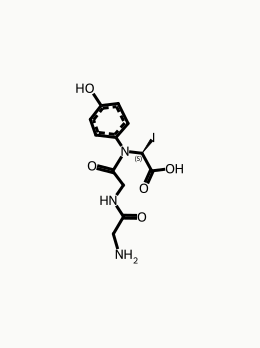 NCC(=O)NCC(=O)N(c1ccc(O)cc1)[C@@H](I)C(=O)O